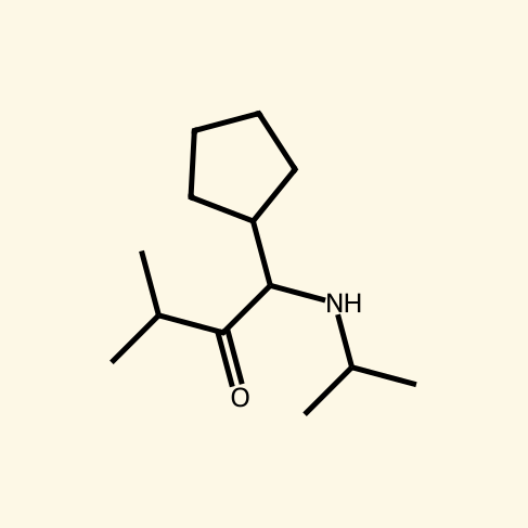 CC(C)NC(C(=O)C(C)C)C1CCCC1